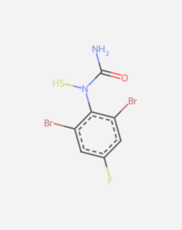 NC(=O)N(S)c1c(Br)cc(F)cc1Br